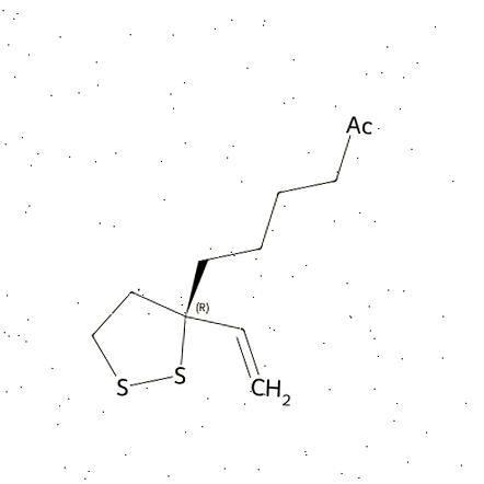 C=C[C@@]1(CCCCC(C)=O)CCSS1